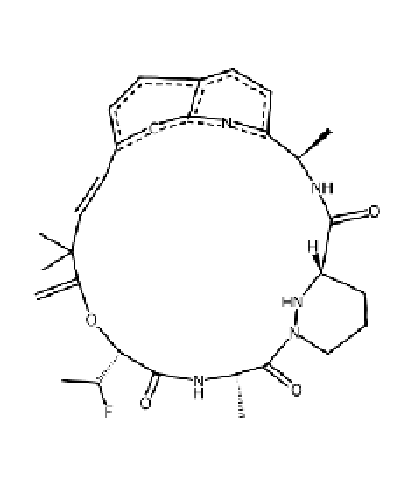 C=C1O[C@@H](C(C)F)C(=O)N[C@@H](C)C(=O)N2CCC[C@H](N2)C(=O)N[C@H](C)c2ccc3ccc(cc3n2)/C=C/C1(C)C